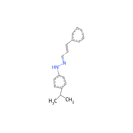 CC(C)c1ccc(NN=CC=Cc2ccccc2)cc1